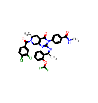 CNC(=O)c1ccc(-n2c(N[C@@H](C)c3ccccc3OC(F)F)nc3c(c2=O)C[C@@H](C)N(C(=O)c2ccc(Cl)c(Cl)c2)C3)cc1